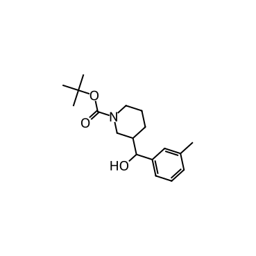 Cc1cccc(C(O)C2CCCN(C(=O)OC(C)(C)C)C2)c1